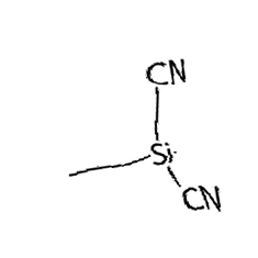 C[Si](C#N)C#N